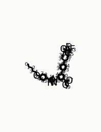 CCCCCOc1ccc(-c2cn(-c3cc(C(=O)OC)cc(-c4ccc(C5CCN(C(=O)C(F)(F)F)CC5)cc4)c3)nn2)cc1